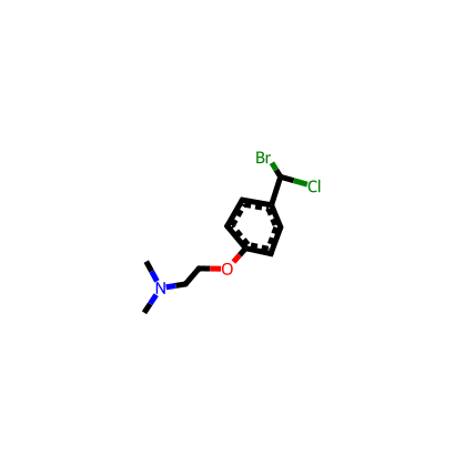 CN(C)CCOc1ccc(C(Cl)Br)cc1